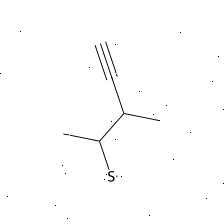 C#CC(C)C(C)[S]